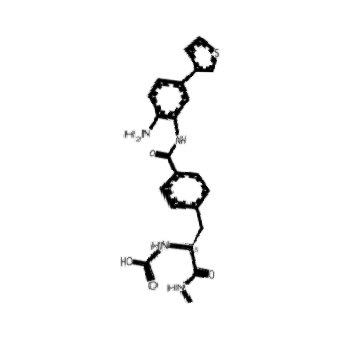 CNC(=O)[C@H](Cc1ccc(C(=O)Nc2cc(-c3ccsc3)ccc2N)cc1)NC(=O)O